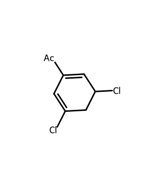 CC(=O)C1=CC(Cl)CC(Cl)=C1